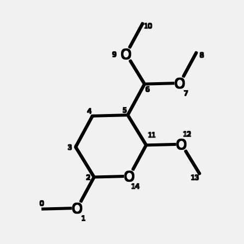 COC1CCC(C(OC)OC)C(OC)O1